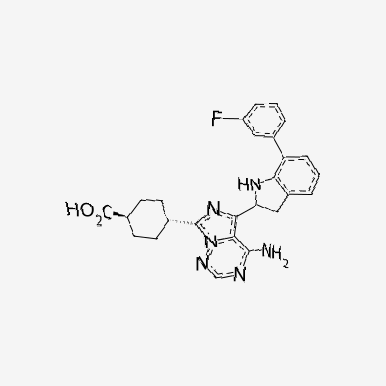 Nc1ncnn2c1c(C1Cc3cccc(-c4cccc(F)c4)c3N1)nc2[C@H]1CC[C@H](C(=O)O)CC1